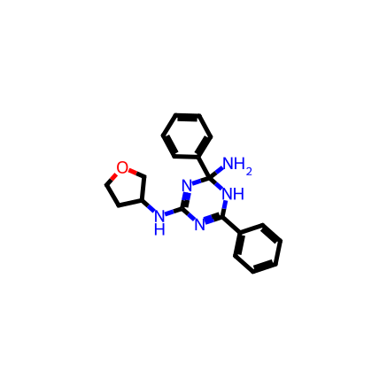 NC1(c2ccccc2)N=C(NC2CCOC2)N=C(c2ccccc2)N1